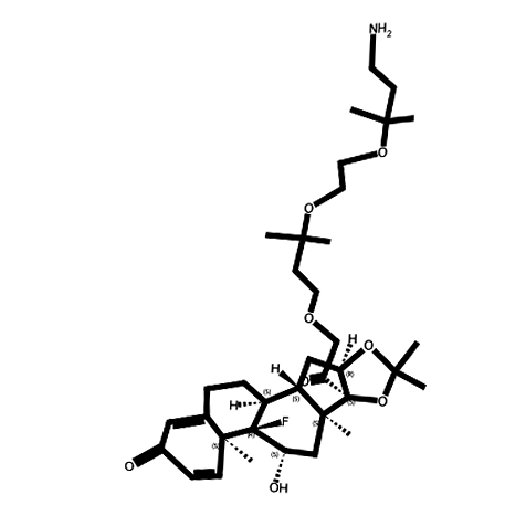 CC(C)(CCN)OCCOC(C)(C)CCOCC(=O)[C@@]12OC(C)(C)O[C@@H]1C[C@H]1[C@@H]3CCC4=CC(=O)C=C[C@]4(C)[C@@]3(F)[C@@H](O)C[C@@]12C